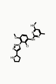 CNc1cc(C)nc(Nc2ccc(OC)c(-n3cc(C4CCCN4)nn3)c2Cl)n1